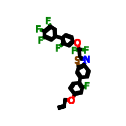 C=CCOc1ccc(-c2ccc3nc(C(F)(F)Oc4ccc(-c5cc(F)c(F)c(F)c5)c(F)c4)sc3c2)c(F)c1